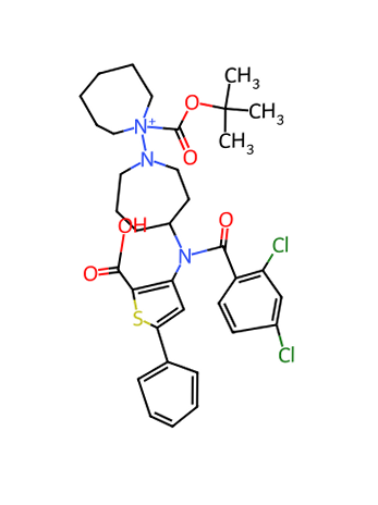 CC(C)(C)OC(=O)[N+]1(N2CCCC(N(C(=O)c3ccc(Cl)cc3Cl)c3cc(-c4ccccc4)sc3C(=O)O)CC2)CCCCCC1